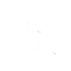 O=Cc1cccnc1.c1cscn1